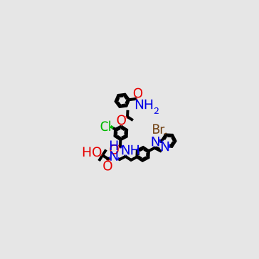 CC(C)Oc1ccc(C(=O)NC(CNC(=O)C(C)(C)O)Cc2ccc(-c3cn4cccc(Br)c4n3)cc2)cc1Cl.NC(=O)c1ccccc1